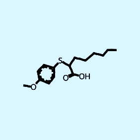 CCCCCCC(Sc1ccc(OC)cc1)C(=O)O